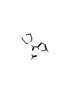 FC(F)(F)c1ccc2c(N3CCOCC3)nc(Cl)nn12